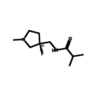 CC(C)C(=O)NC[C@@]1(F)CCN(C)C1